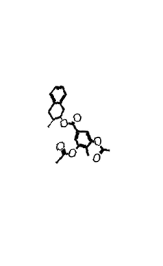 CC(=O)Oc1cc(C(=O)O[C@@H]2Cc3ccccc3C[C@@H]2C)cc(OC(C)=O)c1C